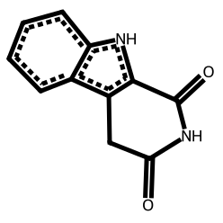 O=C1Cc2c([nH]c3ccccc23)C(=O)N1